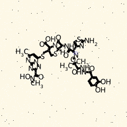 Cc1cc(SCC2=C(C(=O)O)N3C(=O)[C@@H](NC(=O)/C(=N\OC(C)(C)C(=O)NNC(=O)c4ccc(O)c(O)c4)c4csc(N)n4)[C@H]3SC2)n2nc(C(=O)N(C)O)nc2n1